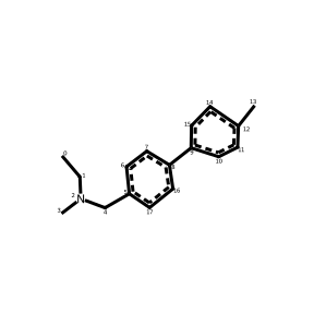 CCN(C)Cc1ccc(-c2ccc(C)cc2)cc1